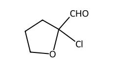 O=CC1(Cl)CCCO1